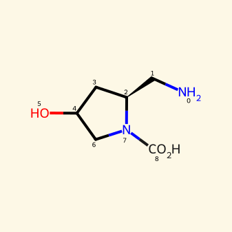 NC[C@@H]1CC(O)CN1C(=O)O